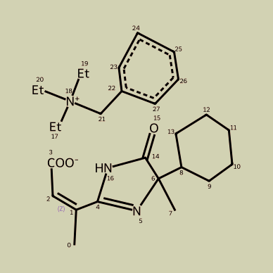 C/C(=C/C(=O)[O-])C1=NC(C)(C2CCCCC2)C(=O)N1.CC[N+](CC)(CC)Cc1ccccc1